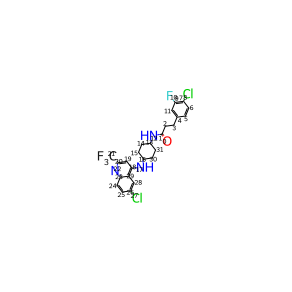 O=C(CCc1ccc(Cl)c(F)c1)NC1CCC(Nc2cc(C(F)(F)F)nc3ccc(Cl)cc23)CC1